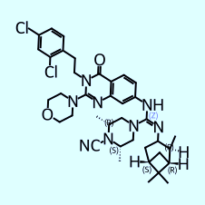 C[C@@H]1C(/N=C(/Nc2ccc3c(=O)n(CCc4ccc(Cl)cc4Cl)c(N4CCOCC4)nc3c2)N2C[C@@H](C)N(C#N)[C@@H](C)C2)C[C@@H]2C[C@H]1C2(C)C